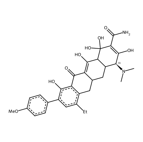 CCc1cc(-c2ccc(OC)cc2)c(O)c2c1CC1CC3C(C(O)=C1C2=O)C(O)(O)C(C(N)=O)=C(O)[C@H]3N(C)C